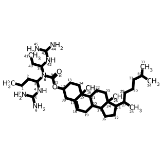 CCCC(NC(N)N)N(C(=O)OC1CCC2(C)C(=CCC3C2CCC2(C)C(C(C)CCCC(C)C)CCC32)C1)C(CC)NC(N)N